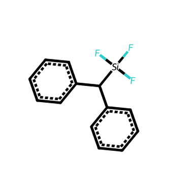 F[Si](F)(F)C(c1ccccc1)c1ccccc1